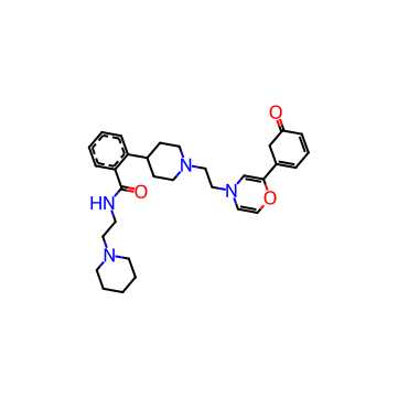 O=C1C=CC=C(C2=CN(CCN3CCC(c4ccccc4C(=O)NCCN4CCCCC4)CC3)C=CO2)C1